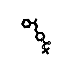 CC(=CCC1CCN(C(=O)OC(C)(C)C)CC1)c1ccccc1